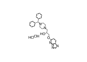 Cl.Cl.OC(COc1ccc2ncnn2n1)CN1CCN(C(c2ccccc2)c2ccccc2)CC1